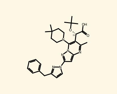 Cc1nc2cc(-n3ccc(Cc4ccccc4)n3)nn2c(N2CCC(C)(C)CC2)c1[C@H](OC(C)(C)C)C(=O)O